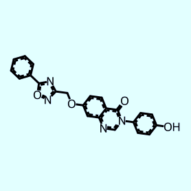 O=c1c2ccc(OCc3noc(-c4ccccc4)n3)cc2ncn1-c1ccc(O)cc1